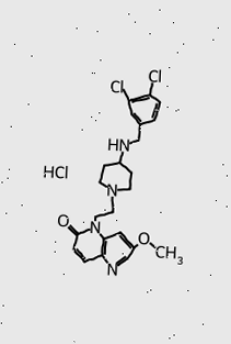 COc1cnc2ccc(=O)n(CCN3CCC(NCc4ccc(Cl)c(Cl)c4)CC3)c2c1.Cl